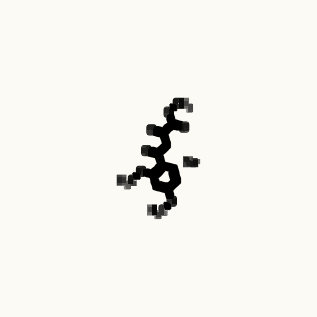 COC(=O)C(=O)CC(=O)c1ccc(OC)cc1OC.[Na]